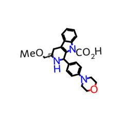 COC[C@H]1Cc2c(n(C(=O)O)c3ccccc23)C(c2ccc(N3CCOCC3)cc2)N1